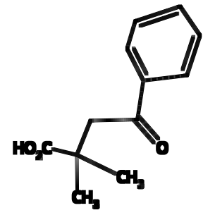 CC(C)(CC(=O)c1ccccc1)C(=O)O